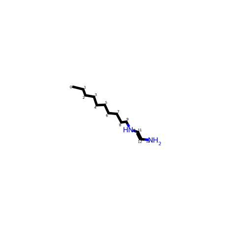 CCCCCCCCCCN/C=C/N